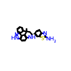 CC1(c2ccccc2)C[C@H](c2ccc3nc(N)sc3c2)Nc2ccc3[nH]ncc3c21